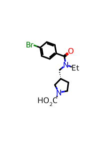 CCN(C[C@@H]1CCN(C(=O)O)C1)C(=O)c1ccc(Br)cc1